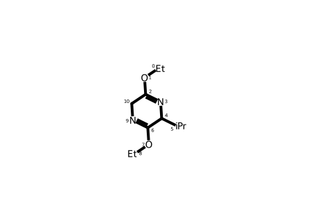 CCOC1=NC(C(C)C)C(OCC)=NC1